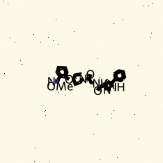 CO/N=C/c1ccccc1OC1CCN(C(=O)CNC(=O)c2cc(-c3ccccc3)[nH]n2)CC1